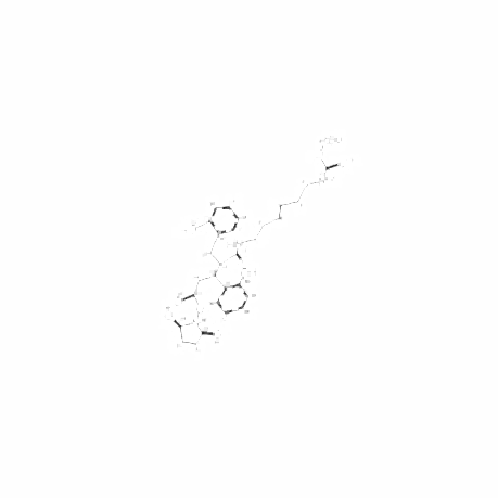 CC(C)(C)OC(=O)NCCCCCCNC(=O)C(Cc1ccccc1O)C(CC(=O)ON1C(=O)CCC1=O)c1ccccc1O